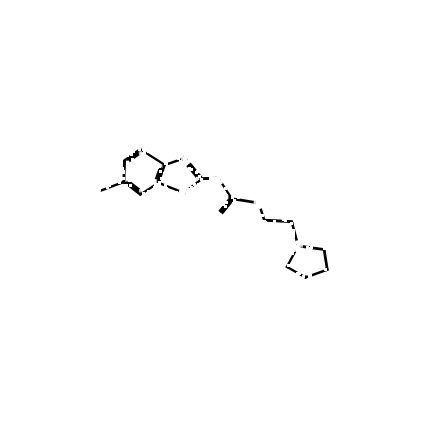 Cc1ccc2nc(NC(=O)OCCN3CCCC3)[nH]c2c1